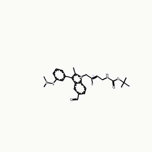 Cc1c(-c2cccc(SN(C)C)c2)c2cc(C=O)ccc2n1C/C(F)=C/CNC(=O)OC(C)(C)C